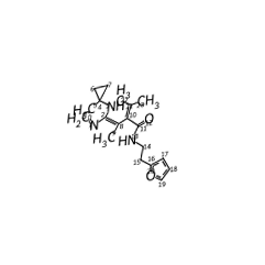 C=N/C(NC1(C)CC1)=C(\C)C(C(=O)NCCc1ccco1)=C(C)C